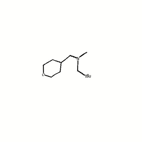 CN(CC1CCOCC1)CC(C)(C)C